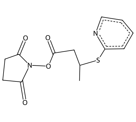 CC(CC(=O)ON1C(=O)CCC1=O)Sc1ccccn1